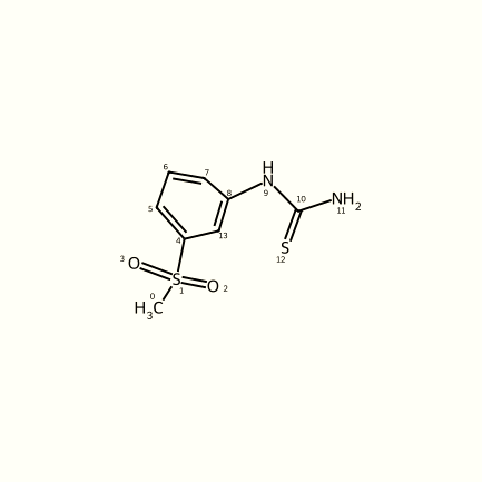 CS(=O)(=O)c1cccc(NC(N)=S)c1